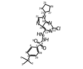 CC(C)(C)c1ccc(S(=O)(=O)NNc2nc(Cl)nc3c2ncn3C2CCCC2)cc1